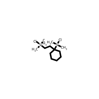 C[Si](C)(Cl)CCC1([Si](C)(C)Cl)CCCCC1